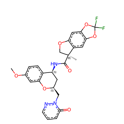 COc1ccc2c(c1)O[C@H](Cn1ncccc1=O)C[C@@H]2NC(=O)[C@@]1(C)COc2cc3c(cc21)OC(F)(F)O3